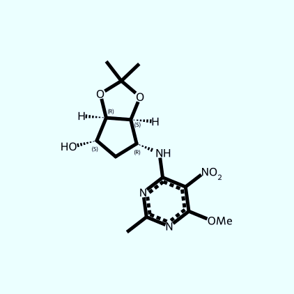 COc1nc(C)nc(N[C@@H]2C[C@H](O)[C@H]3OC(C)(C)O[C@H]32)c1[N+](=O)[O-]